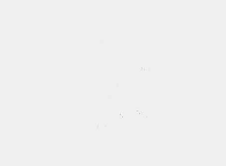 CN(N)C(=O)c1c[nH]c2ccc(Cl)cc12